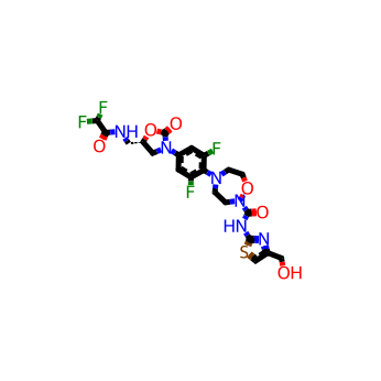 O=C(NC[C@H]1CN(c2cc(F)c(N3CCON(C(=O)Nc4nc(CO)cs4)CC3)c(F)c2)C(=O)O1)C(F)F